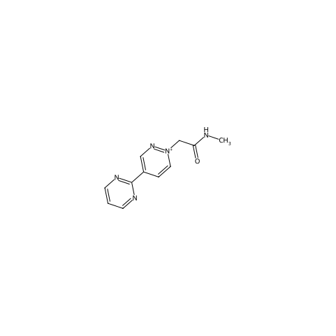 CNC(=O)C[n+]1ccc(-c2ncccn2)cn1